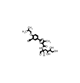 Cc1nc(-c2ccc(OCC(C)C)c(C#N)c2)sc1C(=O)NC(O)(C=O)CC(O)C(O)CO